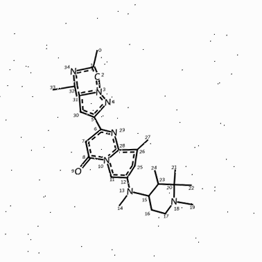 Cc1cn2nc(-c3cc(=O)n4cc(N(C)C5CCN(C)C(C)(C)C5C)cc(C)c4n3)cc2c(C)n1